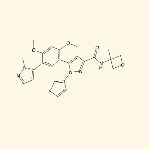 COc1cc2c(cc1-c1ccnn1C)-c1c(c(C(=O)NC3(C)COC3)nn1-c1ccsc1)CO2